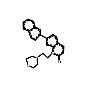 O=c1ccc2ccc(-c3ccc4ccccc4c3)cc2n1CCN1CCOCC1